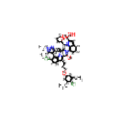 Cc1cc(OCCCc2c3n(c4c(-c5c(C)nn(C)c5C)c(Cl)ccc24)[C@H](C)CN(c2cccc4cc(C(=O)O)n(CC5CCCO5)c24)C3=O)cc(C)c1Cl